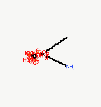 CCCCCCCCCCCCCCCC(=O)O[C@H](COC(=O)CCCCCCCCCCCCN)COP(=O)(O)OC1C(O)[C@H](OP(=O)(O)O)C(OP(=O)(O)O)[C@H](OP(=O)(O)O)[C@@H]1O